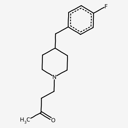 CC(=O)CCN1CCC(Cc2ccc(F)cc2)CC1